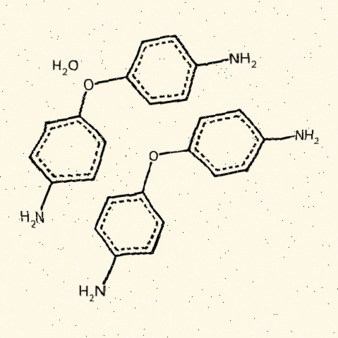 Nc1ccc(Oc2ccc(N)cc2)cc1.Nc1ccc(Oc2ccc(N)cc2)cc1.O